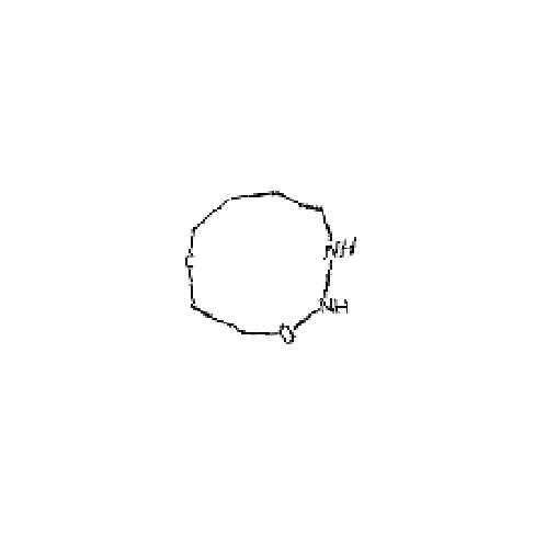 C1CCCNNOCCC1